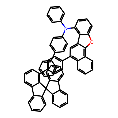 c1ccc(-c2ccc(N(c3ccccc3)c3cccc4oc5c6ccccc6c(-c6ccc(-c7cccc8c7C7(c9ccccc9-c9ccccc97)c7ccccc7-8)cc6)cc5c34)cc2)cc1